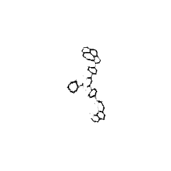 c1ccc(-c2nc(-c3ccc(-c4ccc5ccc6cccnc6c5n4)cc3)cc(-c3ccc(-c4ccc5ccc6cccc7ccc4c5c67)cc3)n2)cc1